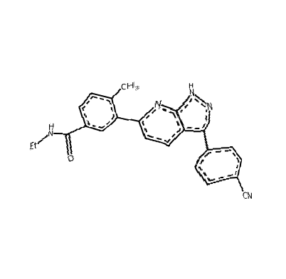 CCNC(=O)c1ccc(C)c(-c2ccc3c(-c4ccc(C#N)cc4)n[nH]c3n2)c1